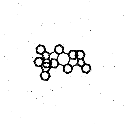 c1ccc2c(c1)-c1cccc(-n3c4ccccc4c4ccccc43)c1-c1cc3c4ccccc4c4ccccc4c3cc1-c1cccc(-n3c4ccccc4c4ccccc43)c1-2